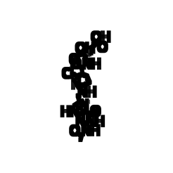 CC(=O)Nc1nc2c(c(=O)[nH]1)N(C)C(CNc1ccc(C(=O)N[C@@H](CCC(=O)O)C(=O)O)c(Cl)n1)CN2